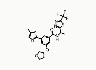 Cc1cnc(-c2cc(O[C@@H]3CCOC3)cc(C(=O)NC(C)c3nnc(C(F)(F)F)s3)c2)s1